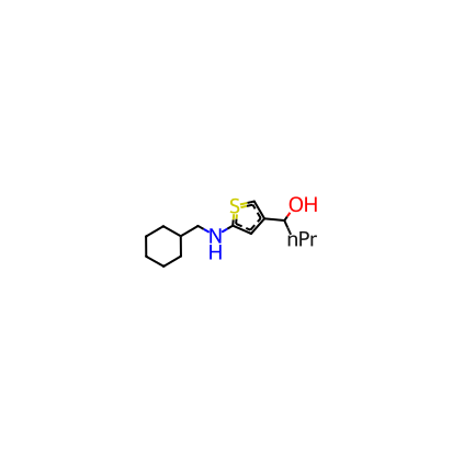 CCCC(O)c1csc(NCC2CCCCC2)c1